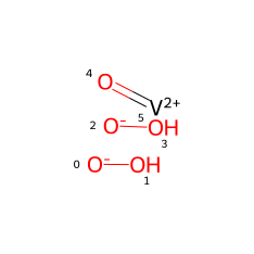 [O-]O.[O-]O.[O]=[V+2]